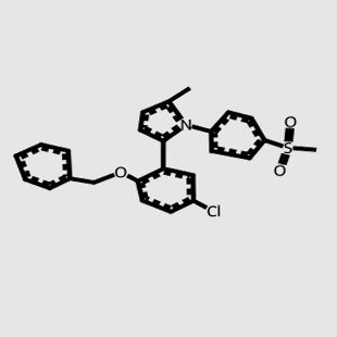 Cc1ccc(-c2cc(Cl)ccc2OCc2ccccc2)n1-c1ccc(S(C)(=O)=O)cc1